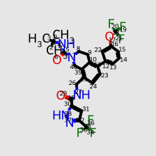 CC(C)(C)NC(=O)N1CCc2c(-c3cccc(OC(F)(F)F)c3)ccc(CNC(=O)c3cc(C(F)(F)F)n[nH]3)c2C1